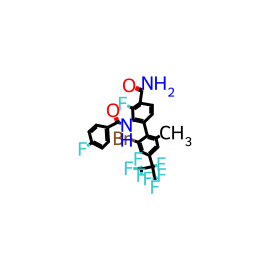 Cc1cc(C(F)(C(F)(F)F)C(F)(F)F)cc(Br)c1-c1ccc(C(N)=O)c(F)c1NC(=O)c1ccc(F)cc1